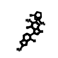 Cn1cc2c(Cl)c(-c3c[nH]c4nc(N5C6CC[C@H]5C[C@@H]6N)n(C)c(=O)c34)ccc2n1